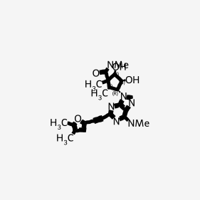 CNC(=O)C1(C)[C@H](C)[C@@H](n2cnc3c(NC)nc(C#Cc4cc(C)c(C)o4)nc32)[C@H](O)[C@@H]1O